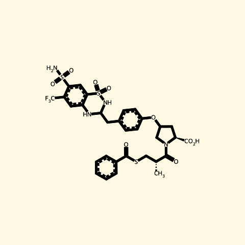 C[C@H](CSC(=O)c1ccccc1)C(=O)N1CC(Oc2ccc(CC3Nc4cc(C(F)(F)F)c(S(N)(=O)=O)cc4S(=O)(=O)N3)cc2)C[C@H]1C(=O)O